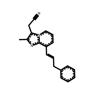 Cc1nc2c(C=CCc3ccccc3)cccn2c1CC#N